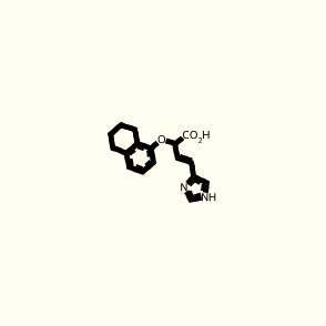 O=C(O)C(C=Cc1c[nH]cn1)Oc1cccc2c1CCCC2